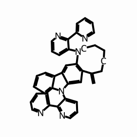 C=C1CCCCCN(c2cccnc2-c2ccccn2)c2cc3c4ccccc4n(-c4cccnc4-c4ccccn4)c3cc21